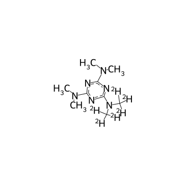 [2H]C([2H])([2H])N(c1nc(N(C)C)nc(N(C)C)n1)C([2H])([2H])[2H]